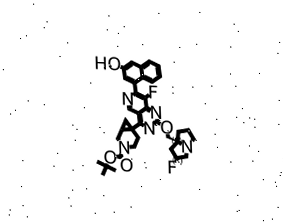 CC(C)(C)OC(=O)N1CCC2(c3nc(OC[C@@]45CCCN4C[C@H](F)C5)nc4c(F)c(-c5cc(O)cc6ccccc56)ncc34)CC2C1